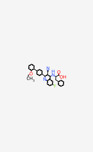 CCOc1ccccc1-c1ccc(-c2nc3ccc(F)cc3c(NC(Cc3ccccc3)C(=O)O)c2C#N)cc1